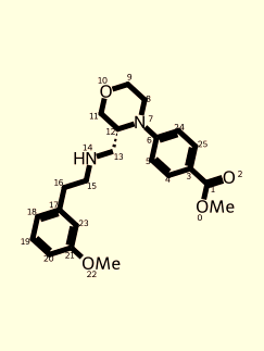 COC(=O)c1ccc(N2CCOC[C@H]2CNCCc2cccc(OC)c2)cc1